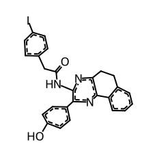 O=C(Cc1ccc(I)cc1)Nc1nc2c(nc1-c1ccc(O)cc1)-c1ccccc1CC2